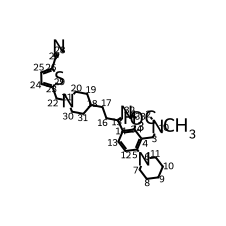 CN(C)Cc1c(N2CCCCC2)ccc2c(CCC3CCN(Cc4ccc(C#N)s4)CC3)noc12